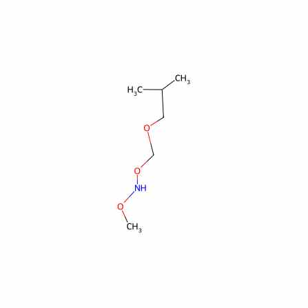 CONOCOCC(C)C